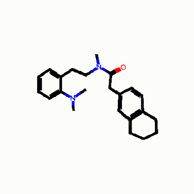 CN(CCc1ccccc1N(C)C)C(=O)Cc1ccc2c(c1)CCCC2